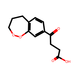 O=C(O)CCC(=O)c1ccc2c(c1)OOCCC2